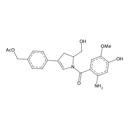 COc1cc(C(=O)N2C=C(c3ccc(COC(C)=O)cc3)CC2CO)c(N)cc1O